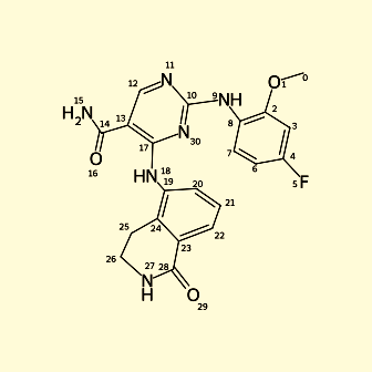 COc1cc(F)ccc1Nc1ncc(C(N)=O)c(Nc2cccc3c2CCNC3=O)n1